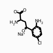 Nc1ccc(Cl)cc1C(=O)CC(N)C(=O)[O-].[Na+]